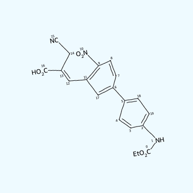 CCOC(=O)Nc1ccc(-c2ccc([N+](=O)[O-])c(/C=C(\CC#N)C(=O)O)c2)cc1